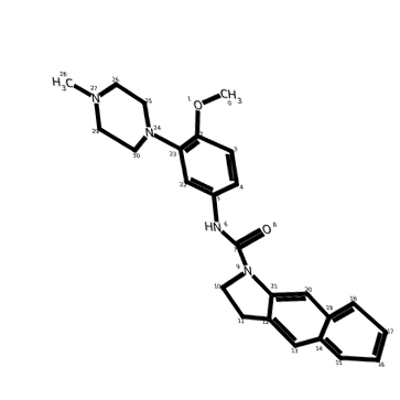 COc1ccc(NC(=O)N2CCc3cc4ccccc4cc32)cc1N1CCN(C)CC1